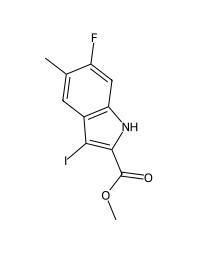 COC(=O)c1[nH]c2cc(F)c(C)cc2c1I